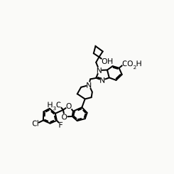 CC1(c2ccc(Cl)cc2F)Oc2cccc(C3CCN(CC4=NC5C=CC(C(=O)O)=CC5N4CC4(O)CCC4)CC3)c2O1